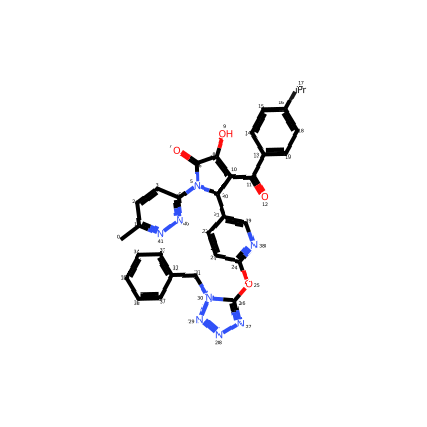 Cc1ccc(N2C(=O)C(O)=C(C(=O)c3ccc(C(C)C)cc3)C2c2ccc(Oc3nnnn3Cc3ccccc3)nc2)nn1